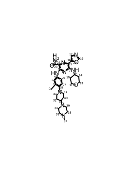 Cc1cc(Nc2nc(NC3CCOCC3)c(-c3cnco3)nc2C(N)=O)ccc1N1CCC(N2CCN(C)CC2)CC1